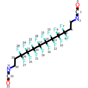 O=C=NCCC(F)(F)C(F)(F)C(F)(F)C(F)(F)C(F)(F)C(F)(F)C(F)(F)C(F)(F)CCN=C=O